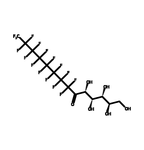 O=C([C@H](O)[C@@H](O)[C@H](O)[C@H](O)CO)C(F)(F)C(F)(F)C(F)(F)C(F)(F)C(F)(F)C(F)(F)C(F)(F)C(F)(F)F